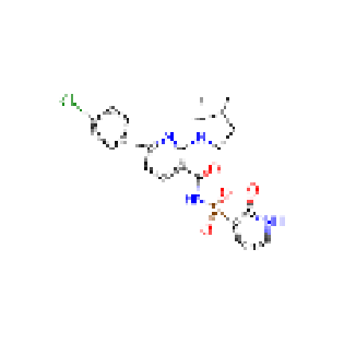 CC1CCN(c2nc(-c3ccc(Cl)cc3)ccc2C(=O)NS(=O)(=O)c2ccc[nH]c2=O)C1(C)C